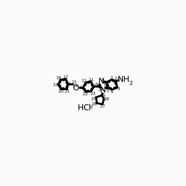 Cl.Nc1ccc2c(c1)nc(-c1ccc(OCc3ccccc3)cc1)n2C1CCCC1